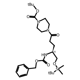 CC(C)(C)OC(=O)N1CCN(C(=O)CC[C@@H](CO[Si](C)(C)C(C)(C)C)NC(=O)OCc2ccccc2)CC1